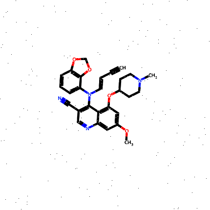 C#CC=CN(c1cccc2c1OCO2)c1c(C#N)cnc2cc(OC)cc(OC3CCN(C)CC3)c12